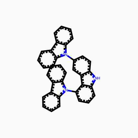 c1cc(-n2c3ccccc3c3ccccc32)c2c(c1)[nH]c1ccc(-n3c4ccccc4c4ccccc43)cc12